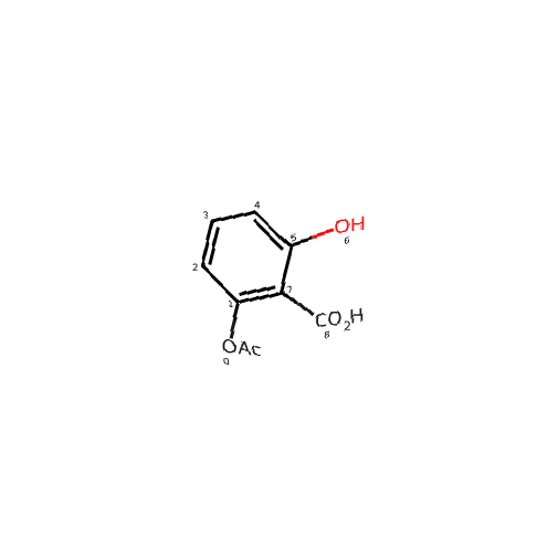 CC(=O)Oc1cccc(O)c1C(=O)O